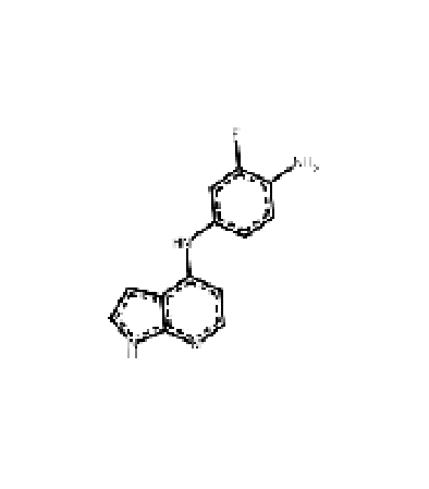 Nc1ccc(Nc2ccnc3[nH]ccc23)cc1F